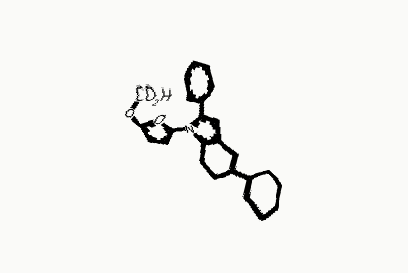 O=C(O)Oc1ccc(-n2c(-c3ccccc3)cc3c2CCC(C2CCCCC2)C3)o1